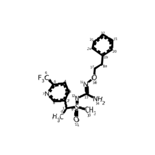 CC(c1ccc(C(F)(F)F)nc1)S(C)(=O)=N/C(N)=N/OCCc1ccccc1